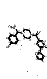 Cn1nc(C(=O)N2CCN(C(C=O)c3ccc(F)cc3)CC2)cc1-c1ccco1